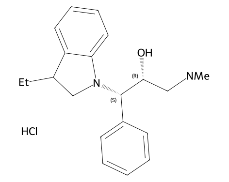 CCC1CN([C@@H](c2ccccc2)[C@H](O)CNC)c2ccccc21.Cl